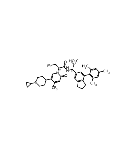 Cc1cc(C)c(-c2cc([C@H](CC(=O)O)NC(=O)[C@H](CC(C)C)n3cc(C4CCN(C5CC5)CC4)c(C(F)(F)F)cc3=O)cc3c2CCC3)c(C)c1